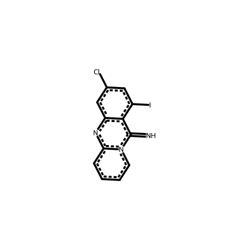 N=c1c2c(I)cc(Cl)cc2nc2ccccn12